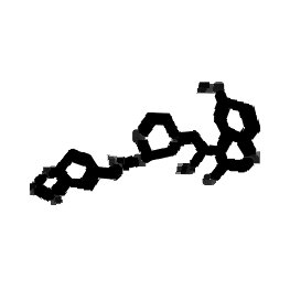 COc1ccc2ncc(Cl)c(C(O)CN3CCOC(CNCc4ccc5nsnc5c4)C3)c2c1